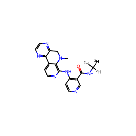 [2H]C([2H])([2H])NC(=O)c1cnccc1Nc1nccc2c1N(C)Cc1nccnc1-2